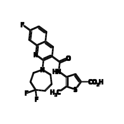 Cc1sc(C(=O)O)cc1NC(=O)c1cc2ccc(F)cc2nc1N1CCCC(F)(F)CC1